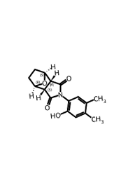 Cc1cc(O)c(N2C(=O)[C@@H]3[C@H](C2=O)[C@H]2CC[C@@H]3O2)cc1C